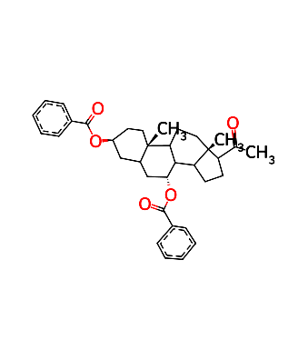 CC(=O)C1CCC2C3C(CC[C@]12C)[C@@]1(C)CC[C@H](OC(=O)c2ccccc2)CC1C[C@H]3OC(=O)c1ccccc1